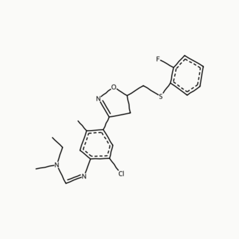 CCN(C)/C=N\c1cc(C)c(C2=NOC(CSc3ccccc3F)C2)cc1Cl